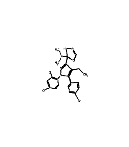 CCc1c(C2(N(C)C)NN=CO2)nn(-c2ccc(Cl)cc2Cl)c1-c1ccc(Br)cc1